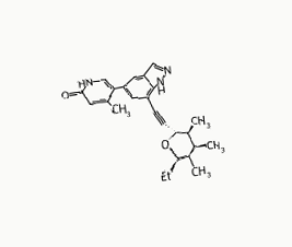 CC[C@H]1O[C@H](C#Cc2cc(-c3c[nH]c(=O)cc3C)cc3cn[nH]c23)[C@@H](C)[C@@H](C)C1C